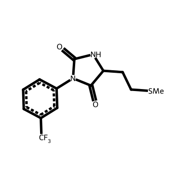 CSCCC1NC(=O)N(c2cccc(C(F)(F)F)c2)C1=O